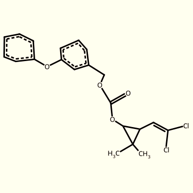 CC1(C)C(C=C(Cl)Cl)C1OC(=O)OCc1cccc(Oc2ccccc2)c1